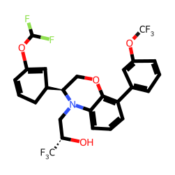 O[C@@H](CN1c2cccc(-c3cccc(OC(F)(F)F)c3)c2OC[C@@H]1C1C=C(OC(F)F)C=CC1)C(F)(F)F